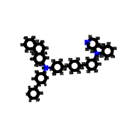 c1ccc(-c2ccc(N(c3ccc(-c4ccc(-c5cccc(-n6c7ccccc7c7ccncc76)c5)cc4)cc3)c3ccc4c(ccc5ccccc54)c3)cc2)cc1